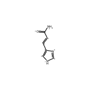 NC(=O)/C=C/c1c[nH]cn1